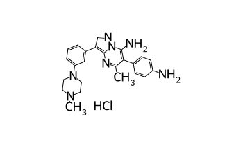 Cc1nc2c(-c3cccc(N4CCN(C)CC4)c3)cnn2c(N)c1-c1ccc(N)cc1.Cl